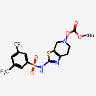 CC(C)(C)OC(=O)ON1CCc2nc(NS(=O)(=O)c3cc(C(F)(F)F)cc(C(F)(F)F)c3)sc2C1